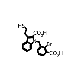 O=C(O)c1cccc(Cn2c(C(=O)O)c(CCS)c3ccccc32)c1Br